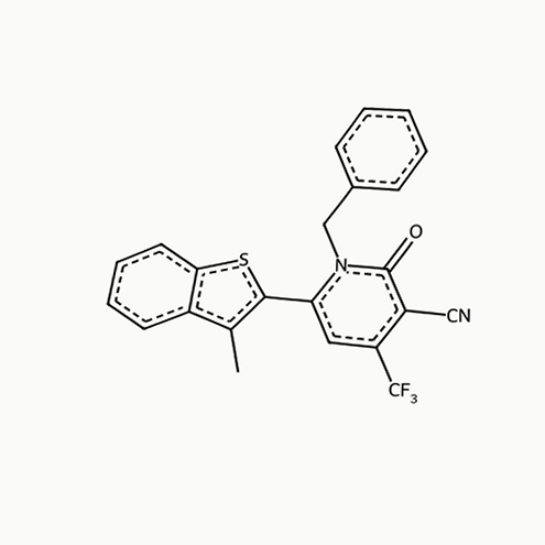 Cc1c(-c2cc(C(F)(F)F)c(C#N)c(=O)n2Cc2ccccc2)sc2ccccc12